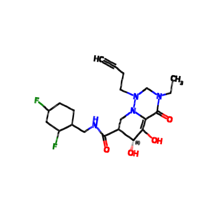 C#CCCN1CN(CC)C(=O)C2=C(O)[C@H](O)C(C(=O)NCC3CCC(F)CC3F)CN21